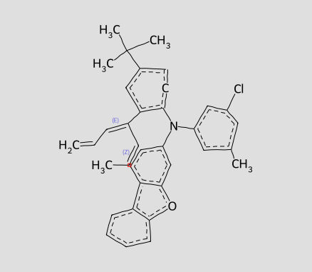 C=C/C=C(\C=C/C)c1cc(C(C)(C)C)ccc1N(c1cc(C)cc(Cl)c1)c1ccc2c(c1)oc1ccccc12